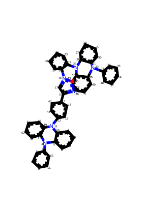 c1ccc(N2c3ccccc3N(c3ccc(-c4cn(-c5ccccc5N5c6ccccc6N(c6ccccc6)c6ccccc65)nn4)cc3)c3ccccc32)cc1